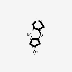 N#C[C@H]1C[C@@H](O)C[C@@H]1OC1CCOCC1